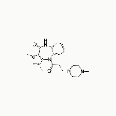 Cc1cn(C)c2c1N(C(=O)CCN1CCN(C)CC1)c1ccccc1NC2=O